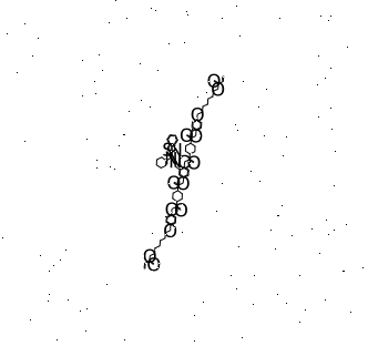 C=CC(=O)OCCCCCCOc1ccc(OC(=O)C2CCC(C(=O)Oc3ccc(OC(=O)C4CCC(C(=O)Oc5ccc(OCCCCCCOC(=O)C=C)cc5)CC4)c(/C=N/N(c4nc5ccccc5s4)C4CCCCC4)c3)CC2)cc1